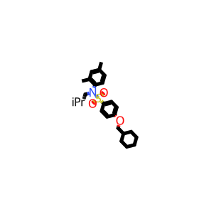 Cc1ccc(N(CC(C)C)S(=O)(=O)c2ccc(OCC3CCCCC3)cc2)c(C)c1